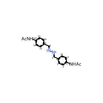 CC(=O)Nc1ccc(C=NN=Cc2ccc(NC(C)=O)cc2)cc1